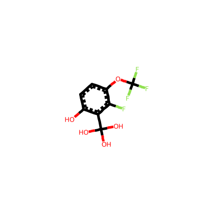 Oc1ccc(OC(F)(F)F)c(F)c1C(O)(O)O